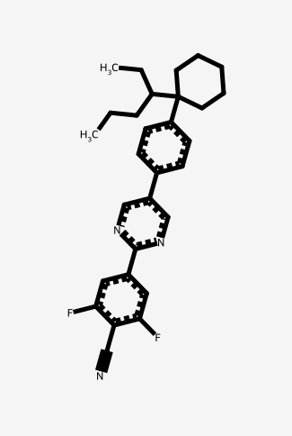 CCCC(CC)C1(c2ccc(-c3cnc(-c4cc(F)c(C#N)c(F)c4)nc3)cc2)CCCCC1